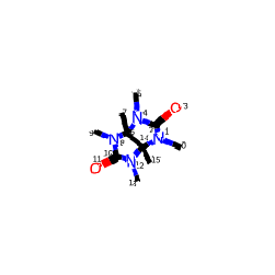 CN1C(=O)N(C)C2(C)N(C)C(=O)N(C)C12C